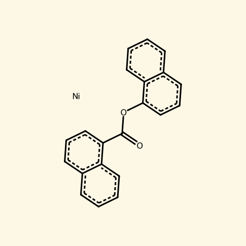 O=C(Oc1cccc2ccccc12)c1cccc2ccccc12.[Ni]